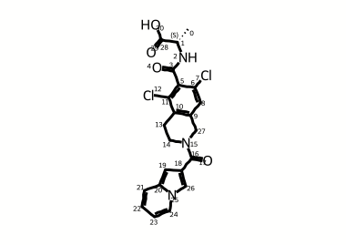 C[C@H](NC(=O)c1c(Cl)cc2c(c1Cl)CCN(C(=O)c1cc3ccccn3c1)C2)C(=O)O